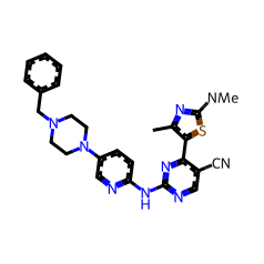 CNc1nc(C)c(-c2nc(Nc3ccc(N4CCN(Cc5ccccc5)CC4)cn3)ncc2C#N)s1